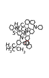 CC(C)(C)c1ccc(N2c3cc4c(cc3B3c5c(cc6c(oc7ccccc76)c52)-c2ccc(N(c5ccccc5)c5ccccc5)c5c6c(n3c25)C(C)(C)c2ccccc2-6)Sc2ccccc2S4)c(-c2ccccc2)c1